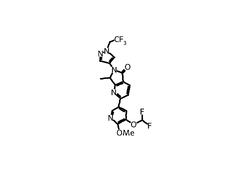 COc1ncc(-c2ccc3c(n2)C(C)N(c2cnn(CC(F)(F)F)c2)C3=O)cc1OC(F)F